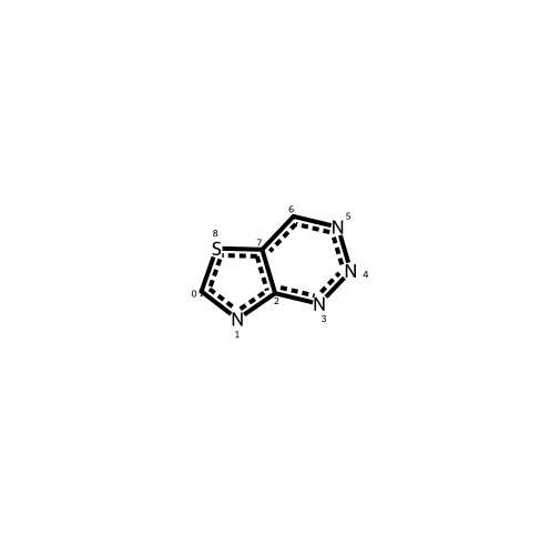 [c]1nc2nnncc2s1